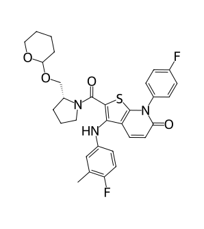 Cc1cc(Nc2c(C(=O)N3CCC[C@@H]3COC3CCCCO3)sc3c2ccc(=O)n3-c2ccc(F)cc2)ccc1F